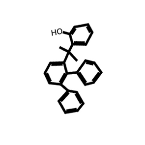 CC(C)(c1ccccc1O)c1cccc(-c2ccccc2)c1-c1ccccc1